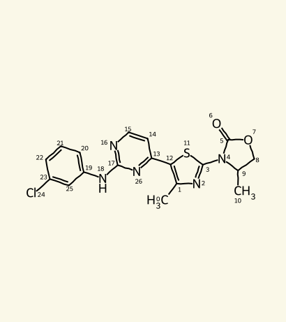 Cc1nc(N2C(=O)OCC2C)sc1-c1ccnc(Nc2cccc(Cl)c2)n1